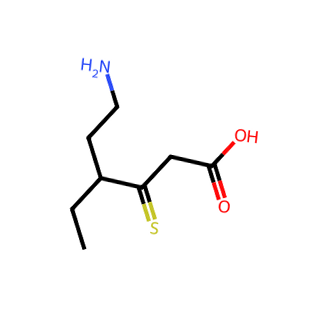 CCC(CCN)C(=S)CC(=O)O